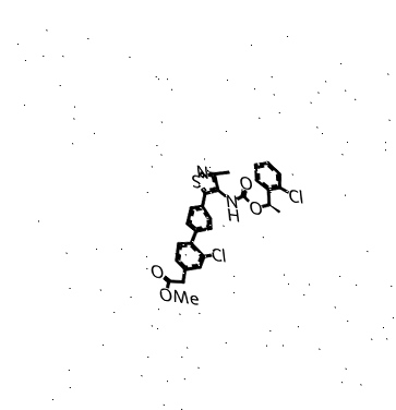 COC(=O)Cc1ccc(-c2ccc(-c3snc(C)c3NC(=O)O[C@H](C)c3ccccc3Cl)cc2)c(Cl)c1